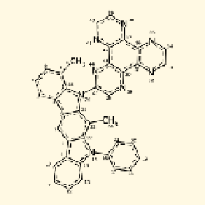 Cc1cccc2c3cc4c5ccccc5n(-c5ccccc5)c4c(C)c3n(-c3cnc4c5nccnc5c5nccnc5c4n3)c12